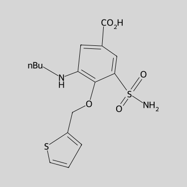 CCCCNc1cc(C(=O)O)cc(S(N)(=O)=O)c1OCc1cccs1